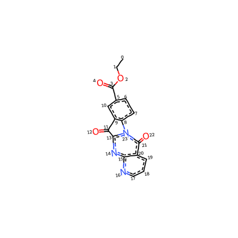 CCOC(=O)c1ccc2c(c1)C(=O)c1nc3ncccc3c(=O)n1-2